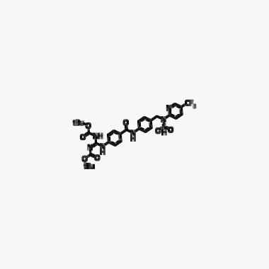 CC(C)(C)OC(=O)/N=C(/NC(=O)OC(C)(C)C)Nc1ccc(C(=O)Nc2ccc(CN(c3ccc(C(F)(F)F)cn3)[SH](=O)=O)cc2)cc1